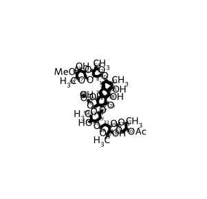 COC1C(O)CC(OC2CC(Oc3cc4cc5c(c(O)c4c(O)c3C)C(=O)[C@@H](OC3CC(OC4CC(OC6OCC(OC(C)=O)C(C)O6)C(O)C(C)O4)C(O)C(C)O3)C(COC(O)OO)C5)OC(C)C2OC(C)=O)OC1C